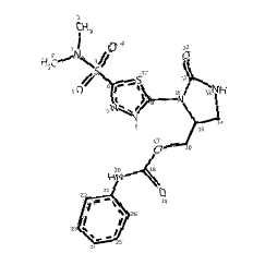 CN(C)S(=O)(=O)c1nnc(N2C(=O)NCC2COC(=O)Nc2ccccc2)s1